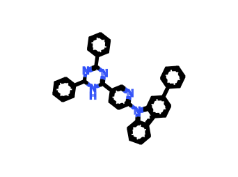 c1ccc(C2=NC(c3ccccc3)NC(c3ccc(-n4c5ccccc5c5ccc(-c6ccccc6)cc54)nc3)=N2)cc1